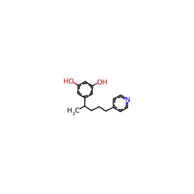 CC(CCCc1ccncc1)c1cc(O)cc(O)c1